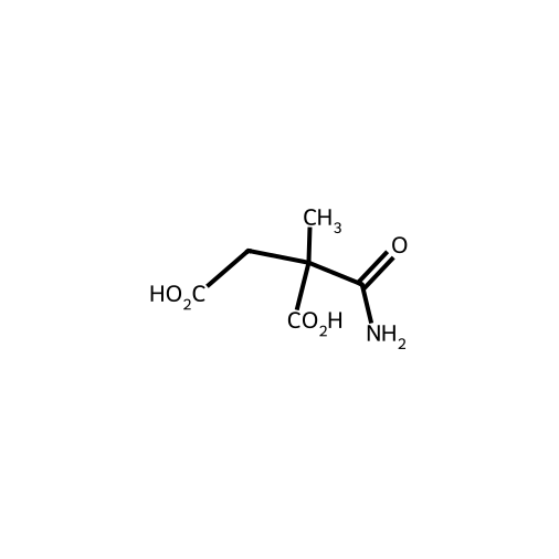 CC(CC(=O)O)(C(N)=O)C(=O)O